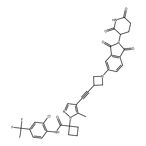 Cc1c(C#CC2CN(c3ccc4c(c3)C(=O)N(C3CCC(=O)NC3=O)C4=O)C2)cnn1C1(C(=O)Nc2ccc(C(F)(F)F)cc2Cl)CCC1